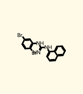 N=C(Nc1cc(Br)ccc1Br)Nc1cccc2ccccc12